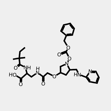 CCC(C)(C)C(=O)NC(CNC(=O)COC1CC(CNc2ccccn2)N(OC(=O)OCc2ccccc2)C1)C(=O)O